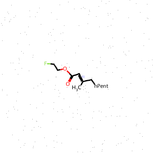 CCCCCC/C(C)=C/C(=O)OCCF